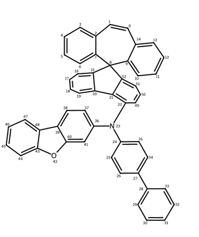 C1=Cc2ccccc2C2(c3ccccc31)c1ccccc1-c1c(N(c3ccc(-c4ccccc4)cc3)c3ccc4c(c3)oc3ccccc34)cccc12